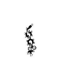 C#CCN1CCN(C2CCN(C(=O)OC(C)(C)C)CC2)CC1